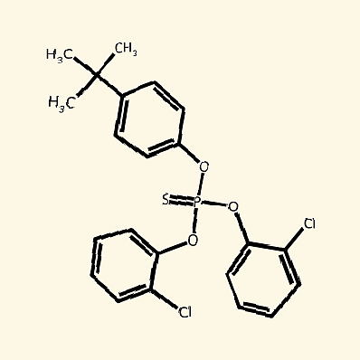 CC(C)(C)c1ccc(OP(=S)(Oc2ccccc2Cl)Oc2ccccc2Cl)cc1